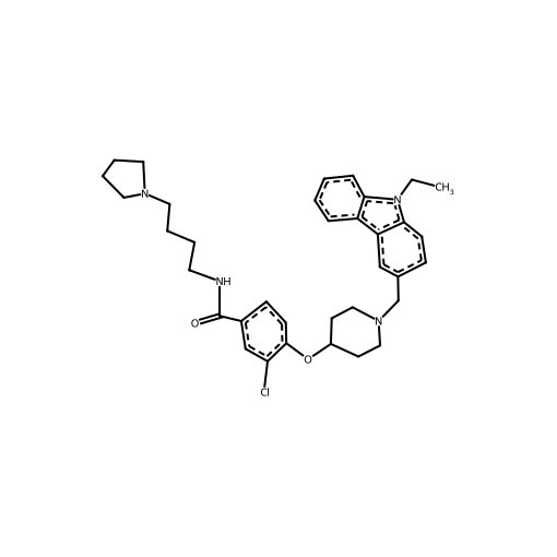 CCn1c2ccccc2c2cc(CN3CCC(Oc4ccc(C(=O)NCCCCN5CCCC5)cc4Cl)CC3)ccc21